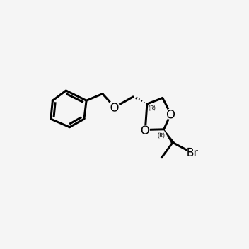 CC(Br)[C@@H]1OC[C@@H](COCc2ccccc2)O1